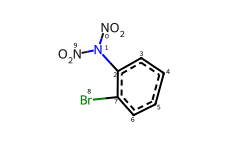 O=[N+]([O-])N(c1ccccc1Br)[N+](=O)[O-]